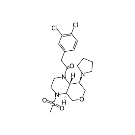 CS(=O)(=O)N1CCN(C(=O)Cc2ccc(Cl)c(Cl)c2)[C@H]2[C@H]1COC[C@@H]2N1CCCC1